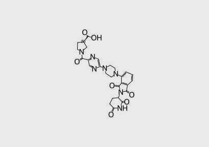 O=C1CCC(N2C(=O)c3cccc(N4CCN(c5cnc(C(=O)N6CC[C@@H](C(=O)O)C6)cn5)CC4)c3C2=O)C(=O)N1